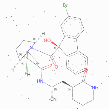 N#C[C@@H](C[C@@H]1CCCNC1=O)NC(=O)[C@H]1[C@H]2CC[C@H](CC2(F)F)N1C(=O)[C@@]1(O)c2ccccc2-c2ccc(Br)cc21